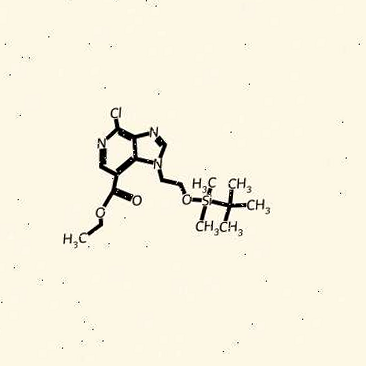 CCOC(=O)c1cnc(Cl)c2ncn(CCO[Si](C)(C)C(C)(C)C)c12